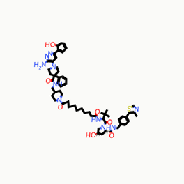 Cc1ncsc1-c1ccc(CNC(=O)[C@@H]2C[C@@H](O)CN2C(=O)C(NC(=O)CCCCCCCCC(=O)N2CCC(CNC(=O)C3(c4ccccc4)CCN(c4cc(-c5ccccc5O)nnc4N)CC3)CC2)C(C)(C)C)cc1